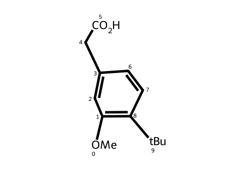 COc1cc(CC(=O)O)ccc1C(C)(C)C